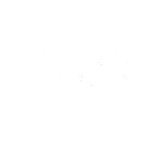 Cc1ccccc1CNC(=O)c1cnccn1